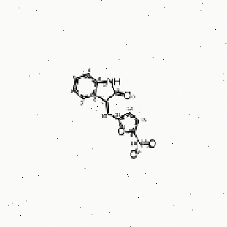 O=C1Nc2ccccc2C1=Cc1ccc([N+](=O)[O-])o1